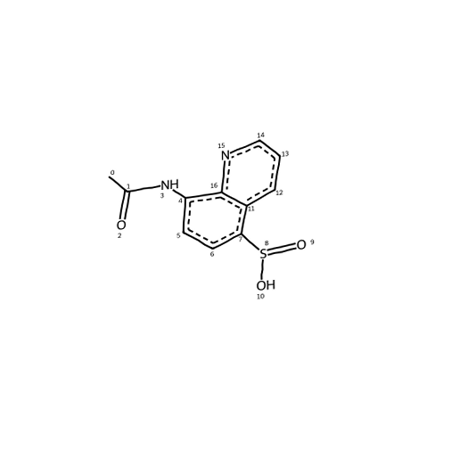 CC(=O)Nc1ccc(S(=O)O)c2cccnc12